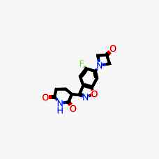 O=C1CN(c2cc3onc(C4CCC(=O)NC4=O)c3cc2F)C1